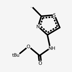 [CH2]c1nc(NC(=O)OC(C)(C)C)cs1